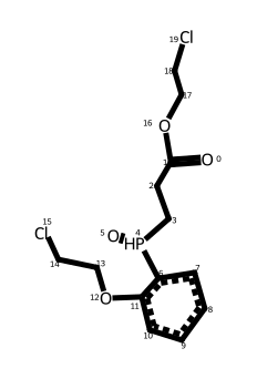 O=C(CC[PH](=O)c1ccccc1OCCCl)OCCCl